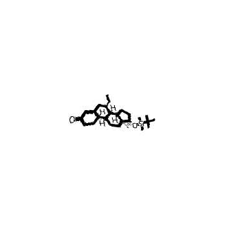 CC[C@@H]1CC2=CC(=O)CC[C@@H]2[C@H]2CC[C@]3(C)[C@@H](O[Si](C)(C)C(C)(C)C)CC[C@H]3[C@H]12